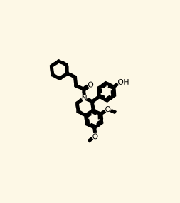 COc1cc2c(c(OC)c1)C(c1ccc(O)cc1)N(C(=O)CCC1CCCCC1)CC2